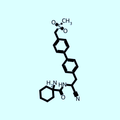 CS(=O)(=O)Cc1ccc(-c2ccc(CC(C#N)NC(=O)C3(N)CCCCC3)cc2)cc1